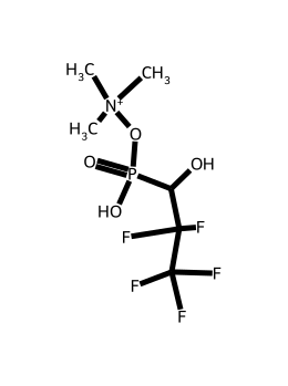 C[N+](C)(C)OP(=O)(O)C(O)C(F)(F)C(F)(F)F